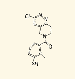 Cc1c(S)cccc1C(=O)N1CCc2nnc(Cl)cc2C1